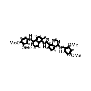 COc1ccc(CNc2ncnc3c(C(=O)Nc4c(C)ccc5c(Nc6ccc(OC)c(OC)c6)nccc45)cccc23)c(OC)c1